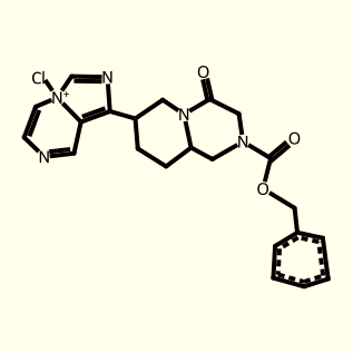 O=C(OCc1ccccc1)N1CC(=O)N2CC(C3=C4C=NC=C[N+]4(Cl)C=N3)CCC2C1